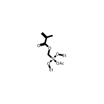 C=C(C)C(=O)OC[Si](OCC)(OCC)OC(C)=O